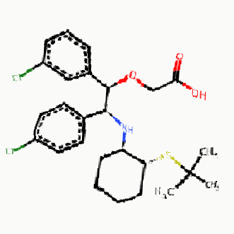 CC(C)(C)S[C@@H]1CCCC[C@H]1N[C@@H](c1ccc(Cl)cc1)[C@H](OCC(=O)O)c1cccc(Cl)c1